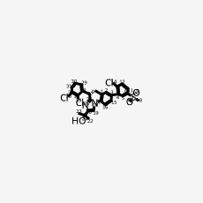 Cc1cc(-c2cc(S(C)(=O)=O)ccc2Cl)ccc1-n1cc(C(C)(C)O)nc1Cc1cccc(Cl)c1Cl